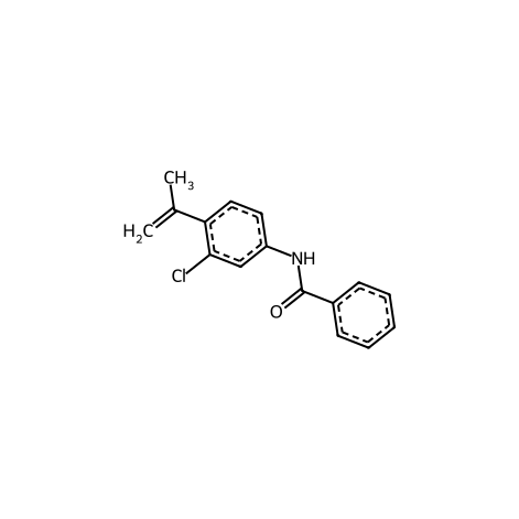 C=C(C)c1ccc(NC(=O)c2ccccc2)cc1Cl